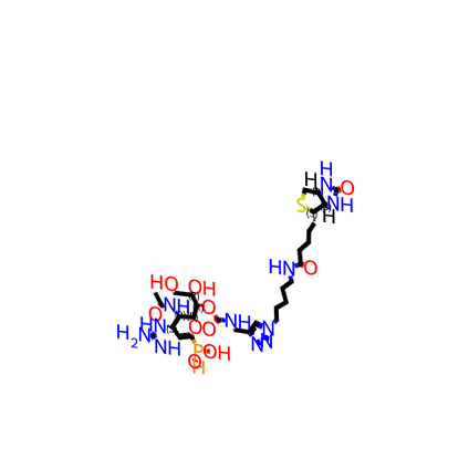 CC(=O)N[C@H]1[C@H]([C@H](OC(=O)NCc2cn(CCCCCNC(=O)CCCC[C@@H]3SC[C@@H]4NC(=O)N[C@@H]43)nn2)[C@H](O)CO)OC([PH](=O)O)=C[C@@H]1NC(=N)N